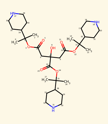 CC(C)(OC(=O)CC(O)(CC(=O)OC(C)(C)C1CCNCC1)C(=O)OC(C)(C)C1CCNCC1)C1CCNCC1